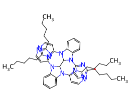 CCCCCc1nccc(N2c3ccccc3N(c3ccnc(CCCCC)n3)C2C2N(c3ccnc(CCCCC)n3)c3ccccc3N2c2ccnc(CCCCC)n2)n1